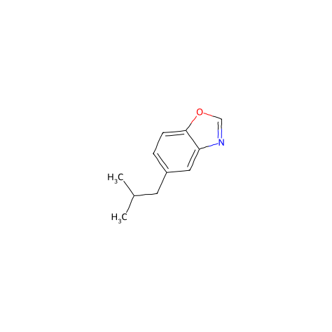 CC(C)Cc1ccc2ocnc2c1